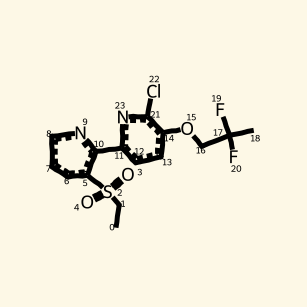 CCS(=O)(=O)c1cccnc1-c1ccc(OCC(C)(F)F)c(Cl)n1